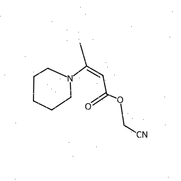 C/C(=C/C(=O)OCC#N)N1CCCCC1